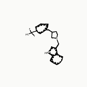 OC(F)(F)c1cccc(C2CCN(Cc3c[nH]c4ccccc34)C2)c1